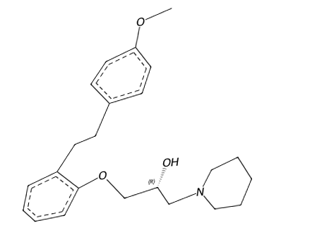 COc1ccc(CCc2ccccc2OC[C@H](O)CN2CCCCC2)cc1